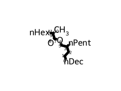 CCCCCCCCCCCCC(CCCCC)COC(=O)C(C)CCCCCC